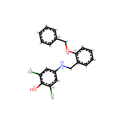 Oc1c(Cl)cc(NCc2ccccc2OCc2ccccc2)cc1Cl